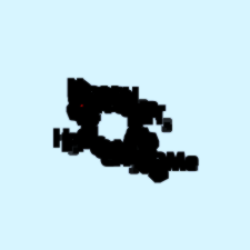 COC1(c2ccnn2Cc2ccc(C[C@@H]3CN(C)C(CC(C)C)CO[C@H](C)CN(C)[C@@H](CC(C)C)CO[C@H](Cc4ccc(Cn5nccc5C5(OC)CCCC5)cc4)CN(C)[C@@H](CC(C)C)CO[C@H](C)CN(C)[C@@H](CC(C)C)CO3)cc2)CCCC1